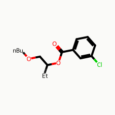 CCCCOCC(CC)OC(=O)c1cccc(Cl)c1